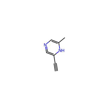 C#CC1=C=NC=C(C)N1